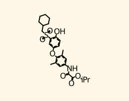 Cc1cc(NC(=O)C(=O)OC(C)C)cc(C)c1Oc1ccc(O)c(S(=O)(=O)CC2CCCCC2)c1